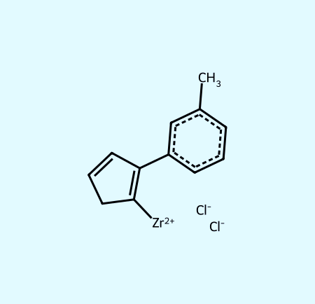 Cc1cccc(C2=[C]([Zr+2])CC=C2)c1.[Cl-].[Cl-]